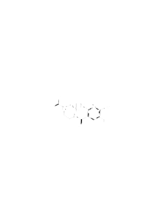 Nc1nc(Br)c(Cl)cc1C(=O)N1CCN(C(=O)O)CC1